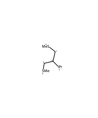 CSCC(CSC)C(C)C